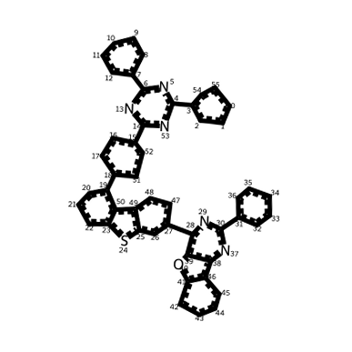 c1ccc(-c2nc(-c3ccccc3)nc(-c3ccc(-c4cccc5sc6cc(-c7nc(-c8ccccc8)nc8c7oc7ccccc78)ccc6c45)cc3)n2)cc1